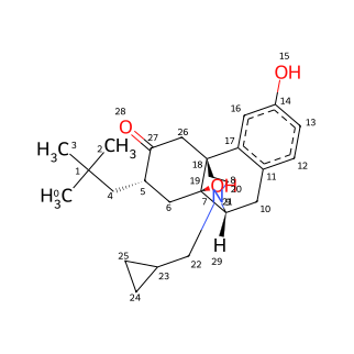 CC(C)(C)C[C@H]1C[C@@]2(O)[C@H]3Cc4ccc(O)cc4[C@@]2(CCN3CC2CC2)CC1=O